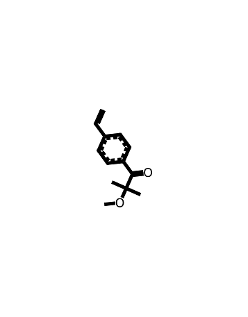 C=Cc1ccc(C(=O)C(C)(C)OC)cc1